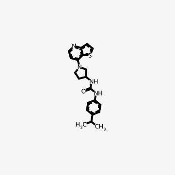 CC(C)c1ccc(NC(=O)NC2CCN(c3ccnc4ccsc34)C2)cc1